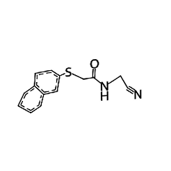 N#CCNC(=O)CSc1ccc2ccccc2c1